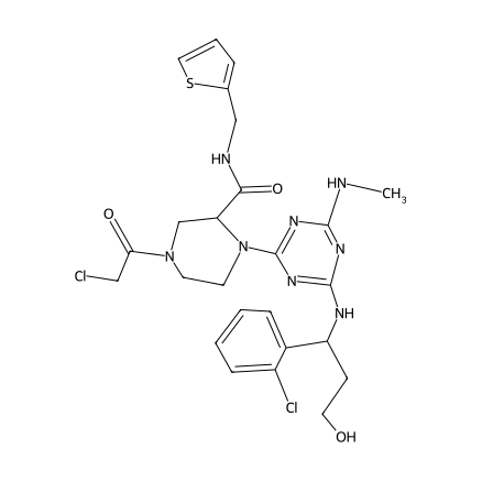 CNc1nc(NC(CCO)c2ccccc2Cl)nc(N2CCN(C(=O)CCl)CC2C(=O)NCc2cccs2)n1